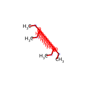 CCCCCCCC/C=C\CCCCCCCC(=O)OCC(COCC(O)COCC(O)COCC(O)COCC(O)COCC(O)COCC(O)COCC(O)COCC(O)COCC(COC(=O)CCCCCCC/C=C\CCCCCCCC)OC(=O)CCCCCCC/C=C\CCCCCCCC)OC(=O)CCCCCCC/C=C\CCCCCCCC